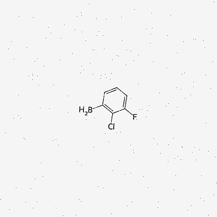 Bc1cccc(F)c1Cl